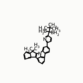 BC(B)(c1ccc(-c2ccc3c4cccc5c6c(n(c3c2)c54)C(C)(C)c2ccccc2-6)nc1)C(C)(C)C